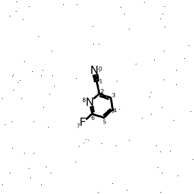 N#Cc1c[c]cc(F)n1